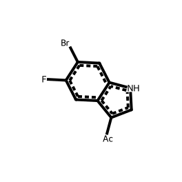 CC(=O)c1c[nH]c2cc(Br)c(F)cc12